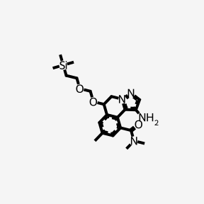 Cc1cc(C(=O)N(C)C)c2c(c1)C(OCOCC[Si](C)(C)C)Cn1ncc(N)c1-2